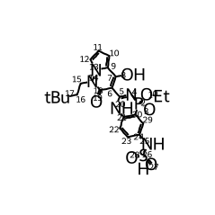 CCOP1(=O)N=C(c2c(O)c3cccn3n(CCC(C)(C)C)c2=O)Nc2ccc(N[SH](=O)=O)cc21